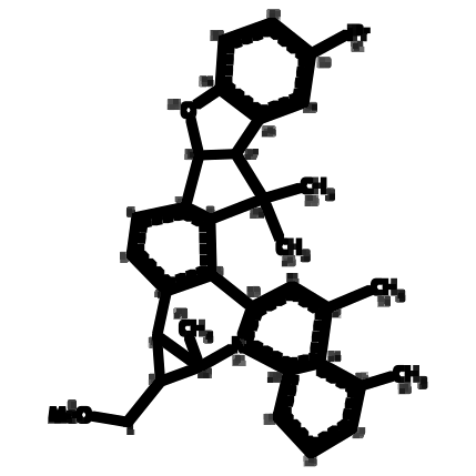 COCC1C2c3ccc4c(c3-c3cc(C)c5c(C)cccc5[n+]3C12C)C(C)(C)C1c2cc(C(C)C)ccc2OC41